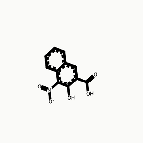 O=C(O)c1cc2ccccc2c([N+](=O)[O-])c1O